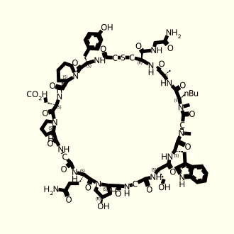 CCCC[C@H]1C(=O)N[C@@H](C)C(=O)N[C@H](C(=O)NCC(N)=O)CSCC(=O)N[C@@H](Cc2ccc(O)cc2)C(=O)N2CCCC[C@H]2C(=O)N[C@@H](CC(=O)O)C(=O)N2CCC[C@H]2C(=O)NCC(=O)N[C@@H](CCC(N)=O)C(=O)N2C[C@H](O)C[C@H]2C(=O)NCC(=O)N[C@@H](CO)C(=O)N[C@@H](Cc2c[nH]c3ccccc23)C(=O)N(C)CC(=O)N1C